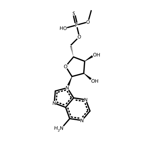 COP(O)(=S)OC[C@H]1O[C@H](n2cnc3c(N)ncnc32)[C@H](O)[C@@H]1O